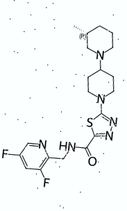 C[C@@H]1CCCN(C2CCN(c3nnc(C(=O)NCc4ncc(F)cc4F)s3)CC2)C1